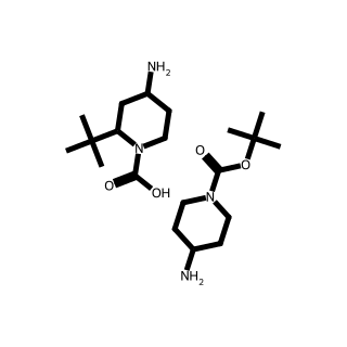 CC(C)(C)C1CC(N)CCN1C(=O)O.CC(C)(C)OC(=O)N1CCC(N)CC1